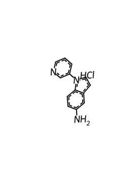 Cl.Nc1ccc2c(ccn2-c2cccnc2)c1